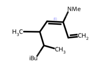 C=C/C(=C\C(C)C(C)C(C)CC)NC